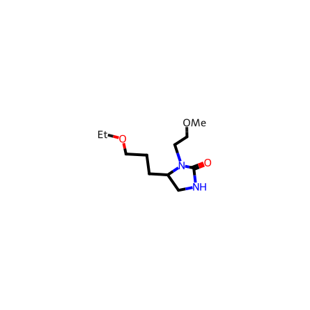 CCOCCCC1CNC(=O)N1CCOC